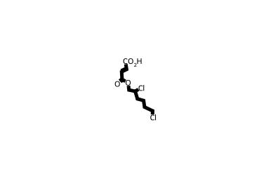 O=C(O)C=CC(=O)OCC(Cl)CCCCCl